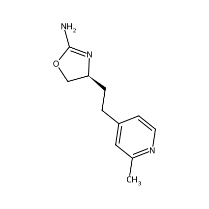 Cc1cc(CC[C@H]2COC(N)=N2)ccn1